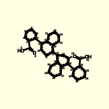 O=C(O)c1ccccc1-c1ccc(-c2ccc(-c3ccccc3C(=O)O)c3ccccc23)c2ccccc12